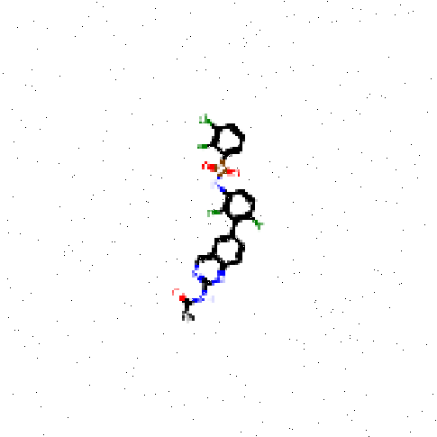 CC(C)(C)C(=O)Nc1ncc2cc(-c3c(F)ccc(NS(=O)(=O)c4cccc(Cl)c4F)c3F)ccc2n1